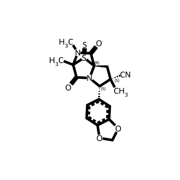 CN1C(=O)[C@]23C[C@](C)(C#N)[C@H](c4ccc5c(c4)OCO5)N2C(=O)C1(C)S3=S